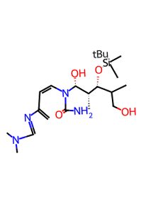 C=C(/C=C\N(C(N)=O)[C@H](O)[C@@H](C)[C@H](O[Si](C)(C)C(C)(C)C)C(C)CO)/N=C/N(C)C